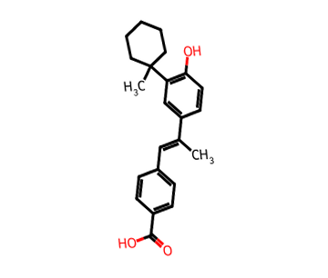 C/C(=C\c1ccc(C(=O)O)cc1)c1ccc(O)c(C2(C)CCCCC2)c1